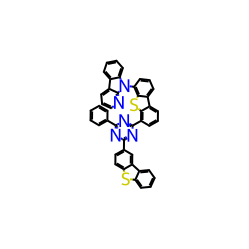 c1ccc(-c2nc(-c3ccc4sc5ccccc5c4c3)nc(-c3cccc4c3sc3c(-n5c6ccccc6c6cccnc65)cccc34)n2)cc1